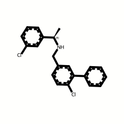 C[C@@H](NCc1ccc(Cl)c(-c2ccccc2)c1)c1cccc(Cl)c1